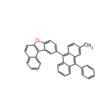 Cc1ccc2c(-c3ccc4oc5ccc6ccccc6c5c4c3)c3ccccc3c(-c3ccccc3)c2c1